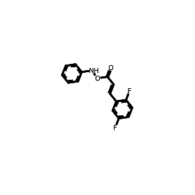 O=C(/C=C/c1cc(F)ccc1F)ONc1ccccc1